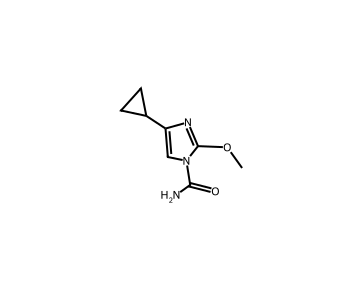 COc1nc(C2CC2)cn1C(N)=O